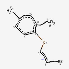 CC/C=C\Sc1ccc(C)cc1C